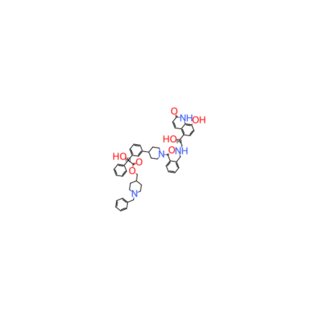 O=C(c1ccccc1CNC[C@H](O)c1ccc(O)c2[nH]c(=O)ccc12)N1CCC(c2cccc([C@](O)(C(=O)OCC3CCN(Cc4ccccc4)CC3)c3ccccc3)c2)CC1